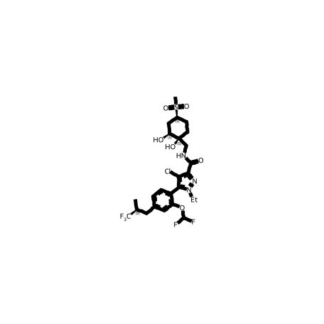 CCn1nc(C(=O)NC[C@@]2(O)CC[C@H](S(C)(=O)=O)C[C@@H]2O)c(Cl)c1-c1ccc(C[C@H](C)C(F)(F)F)cc1OC(F)F